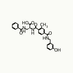 Cc1cc(C(=O)NCc2cccc(O)c2)ccc1C(=O)N[C@@H](CNC(=O)c1ccccc1)C(=O)O